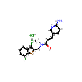 CN(Cc1sc2c(F)cccc2c1Cl)C(=O)/C=C/c1ccc(N)nc1.Cl